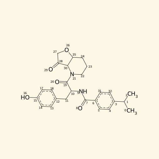 CC(C)c1ccc(C(=O)NC(Cc2ccc(O)cc2)C(=O)N2CCCC3OCC(=O)C32)cc1